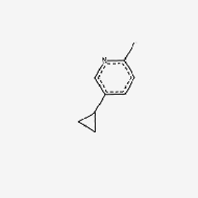 [CH2]c1ccc(C2CC2)cn1